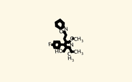 COc1nc(C(C)C)c(CO)c(-c2ccc(F)cc2)c1CCc1nc2ccccc2o1